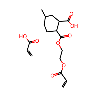 C=CC(=O)O.C=CC(=O)OCCOC(=O)C1CCC(C)CC1C(=O)O